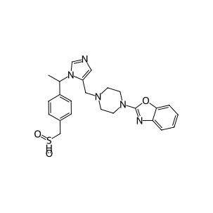 CC(c1ccc(C[SH](=O)=O)cc1)n1cncc1CN1CCN(c2nc3ccccc3o2)CC1